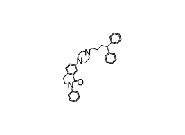 O=C1c2cc(N3CCN(CCCC(c4ccccc4)c4ccccc4)CC3)ccc2CCN1c1ccccc1